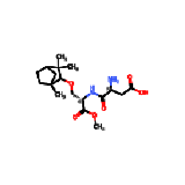 COC(=O)[C@H](COC1C2(C)CCC(C2)C1(C)C)NC(=O)[C@@H](N)CC(=O)O